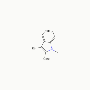 CCc1c(OC)n(C)c2ccccc12